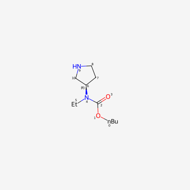 CCCCOC(=O)N(CC)[C@@H]1CCNC1